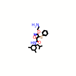 CC(C)CC1(NC(=O)c2onc(OCCN)c2Sc2ccccc2)CC(C)CC(C)C1